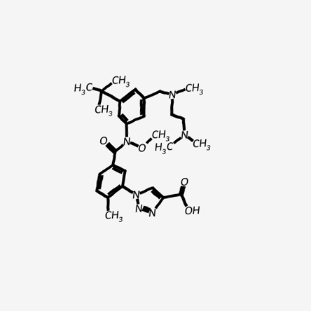 CON(C(=O)c1ccc(C)c(-n2cc(C(=O)O)nn2)c1)c1cc(CN(C)CCN(C)C)cc(C(C)(C)C)c1